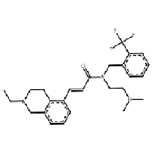 CCN1CCc2c(/C=C/C(=O)N(CCN(C)C)Cc3ccccc3C(F)(F)F)cccc2C1